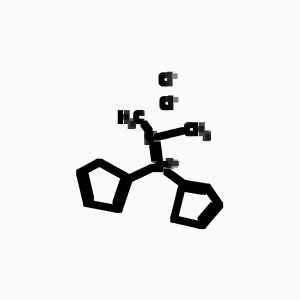 C[Si](C)=[Zr+2]([C]1=CC=CC1)[C]1=CC=CC1.[Cl-].[Cl-]